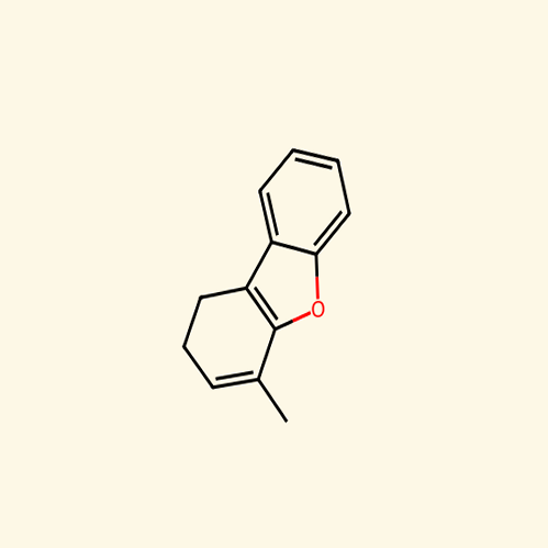 CC1=CCCc2c1oc1ccccc21